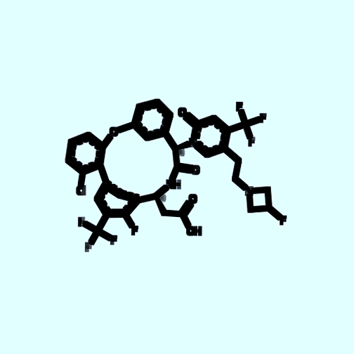 O=C(O)C[C@@H]1NC(=O)[C@H](n2cc(CCN3CC(F)C3)c(C(F)(F)F)cc2=O)c2cccc(c2)Oc2cccc(Cl)c2-c2cc1c(F)c(C(F)(F)F)c2